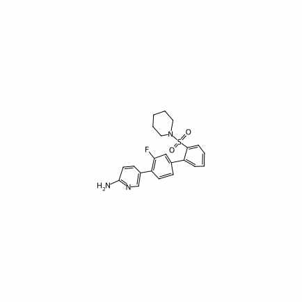 Nc1ccc(-c2ccc(-c3ccccc3S(=O)(=O)N3CCCCC3)cc2F)cn1